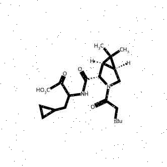 CC(C)(C)CC(=O)N1C[C@H]2[C@@H]([C@H]1C(=O)NC(CC1CC1)C(=O)C(=O)O)C2(C)C